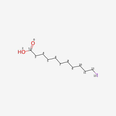 O=C(O)CCCCCCCCCCI